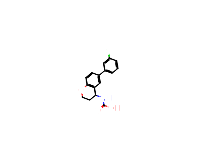 O=C(O)NC1CCOc2ccc(-c3cccc(Cl)c3)cc21